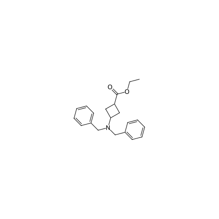 CCOC(=O)C1CC(N(Cc2ccccc2)Cc2ccccc2)C1